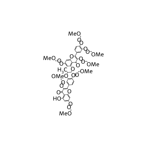 COCOOc1cc(O)c2c(=O)c(OOCOC)c(-c3ccc(OOCOC)c(OC(C)COc4cc(OOCOC)cc5oc(-c6ccc(OOCOC)c(OOCOC)c6)c(OOCOC)c(=O)c45)c3)oc2c1